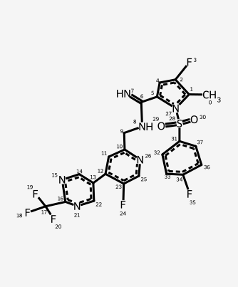 Cc1c(F)cc(C(=N)NCc2cc(-c3cnc(C(F)(F)F)nc3)c(F)cn2)n1S(=O)(=O)c1ccc(F)cc1